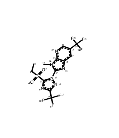 CCS(=O)(=O)c1nc(C(F)(F)F)nn1-c1nc2cc(C(F)(F)F)cnc2n1C